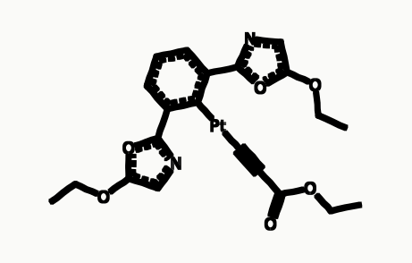 CCOC(=O)C#[C][Pt][c]1c(-c2ncc(OCC)o2)cccc1-c1ncc(OCC)o1